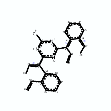 C=C/C(c1nc(Cl)nc(/C(=C/C)c2ccccc2C=C)n1)=c1/cccc/c1=C/C